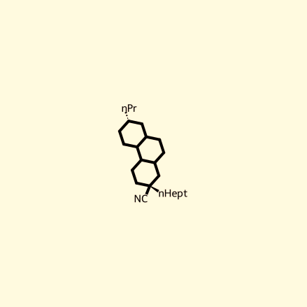 CCCCCCC[C@@]1(C#N)CCC2C(CCC3C[C@@H](CCC)CCC32)C1